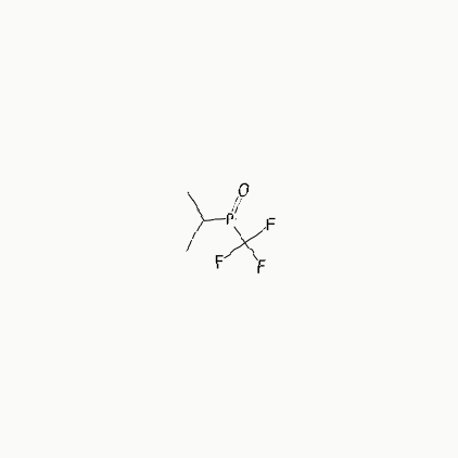 CC(C)[P](=O)C(F)(F)F